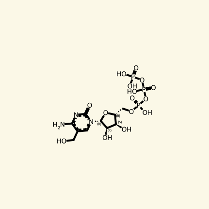 Nc1nc(=O)n([C@@H]2O[C@H](COP(=O)(O)OP(=O)(O)OP(=O)(O)O)[C@@H](O)[C@H]2O)cc1CO